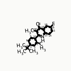 Cc1cc(C(C)(C)C)ccc1-c1[nH]c2ccc(F)cc2c(=O)c1C